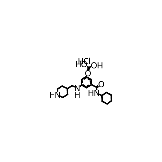 Cl.O=C(NC1CCCCC1)c1cccc(NCC2CCNCC2)c1.O=C(O)O